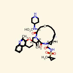 Cc1nc2ccccc2c2c1O[C@@]1(CC2)CN2C(=O)[C@@H](N(C(=O)O)C3CCNCC3)CCCCC/C=C\[C@@H]3C[C@@]3(C(=O)NS(=O)(=O)C3(C)CC3)NC(=O)[C@@H]2C1C